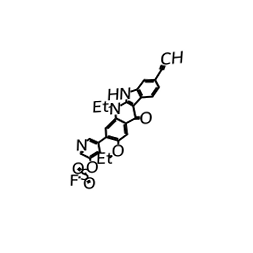 C#Cc1ccc2c(c1)[nH]c1c2c(=O)c2cc(OCC)c(-c3cncc(OS(=O)(=O)F)c3)cc2n1CC